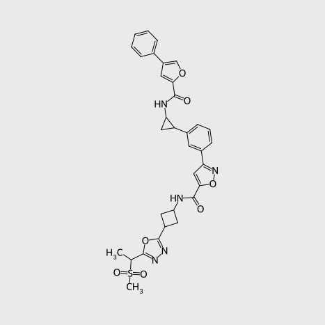 CC(c1nnc(C2CC(NC(=O)c3cc(-c4cccc(C5CC5NC(=O)c5cc(-c6ccccc6)co5)c4)no3)C2)o1)S(C)(=O)=O